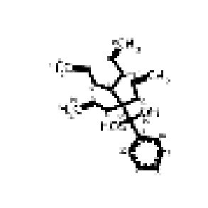 C=CCC(CC=C)C(CC=C)(CC=C)C(O)(O)c1ccccc1